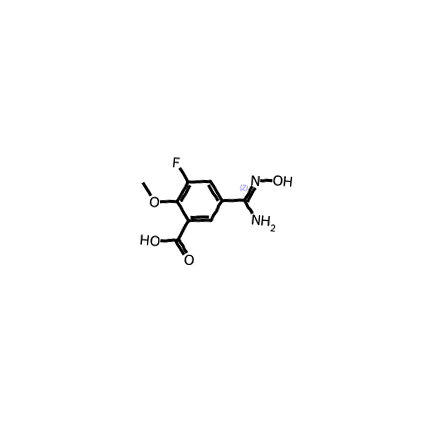 COc1c(F)cc(/C(N)=N/O)cc1C(=O)O